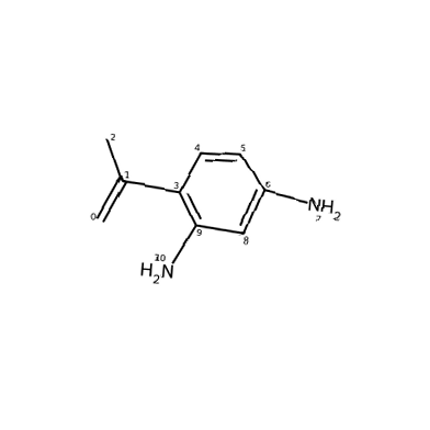 C=C(C)c1ccc(N)cc1N